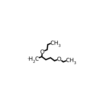 [CH2]C(CCCOCC)OCCC